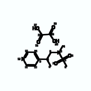 CC(CN(C)S(C)(=O)=O)c1ccncc1.O=C(O)C(=O)O